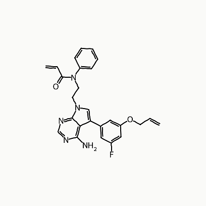 C=CCOc1cc(F)cc(-c2cn(CCN(C(=O)C=C)c3ccccc3)c3ncnc(N)c23)c1